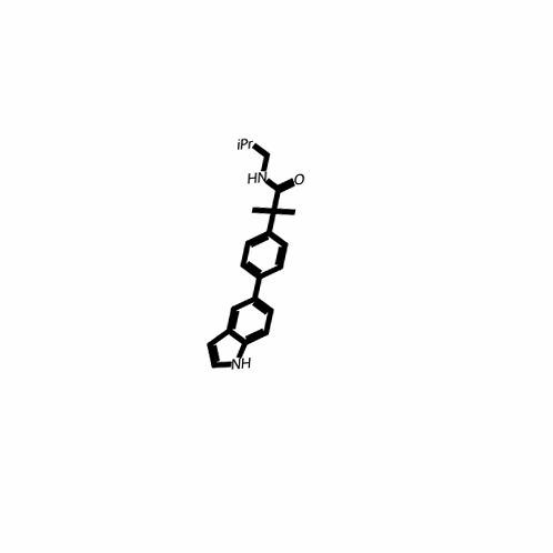 CC(C)CNC(=O)C(C)(C)c1ccc(-c2ccc3[nH]ccc3c2)cc1